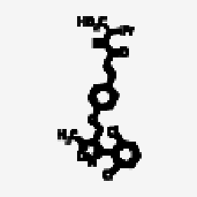 Cc1onc(-c2c(Cl)cccc2Cl)c1COc1ccc(/C=C/C(=O)N[C@H](C(=O)O)C(C)C)cc1